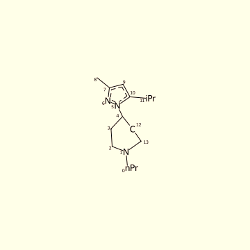 CCCN1CCC(n2nc(C)cc2C(C)C)CC1